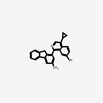 Cc1cc2c(c(-c3ncc(C4CC4)c4ccc(C(C)C)cc34)c1)Cc1ccccc1-2